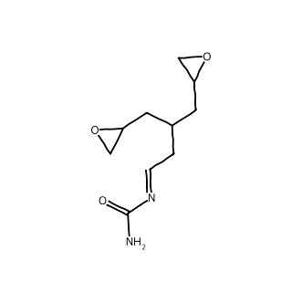 NC(=O)N=CCC(CC1CO1)CC1CO1